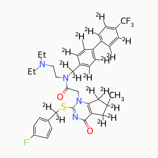 [2H]c1c([2H])c(C(F)(F)F)c([2H])c([2H])c1-c1c([2H])c([2H])c(C([2H])([2H])N(CCN(CC)CC)C(=O)Cn2c(SC([2H])([2H])c3ccc(F)cc3)nc(=O)c3c2C([2H])([2H])C([2H])(C)C3([2H])[2H])c([2H])c1[2H]